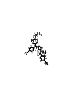 CCOc1ncc(C(c2ccc(C#N)cc2)N2CCC(NC(=O)c3ccc(C#N)cc3F)C2)cn1